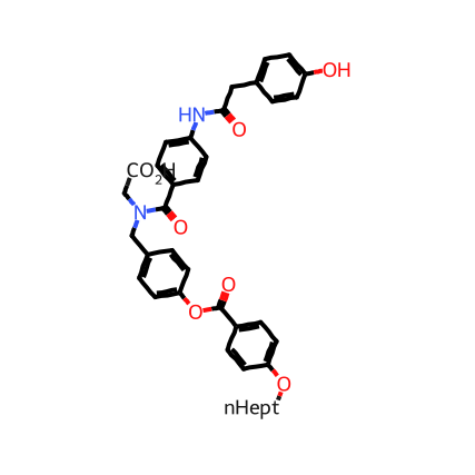 CCCCCCCOc1ccc(C(=O)Oc2ccc(CN(CC(=O)O)C(=O)c3ccc(NC(=O)Cc4ccc(O)cc4)cc3)cc2)cc1